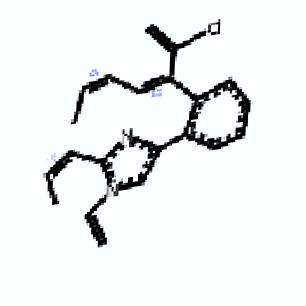 C=Cn1cc(-c2ccccc2/C(=C/C=C\C)C(=C)Cl)nc1/C=C\C